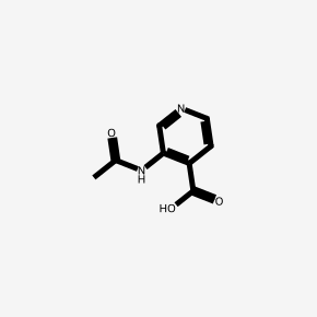 CC(=O)Nc1cnccc1C(=O)O